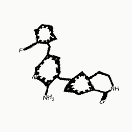 Nc1ncc(-c2ccccc2F)cc1-c1ccc2c(c1)CCNC2=O